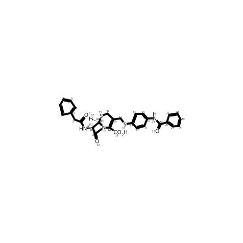 O=C(Cc1ccccc1)N[C@@H]1C(=O)N2C(C(=O)O)=C(CSc3ccc(NC(=O)c4ccccc4)cc3)CS[C@H]12